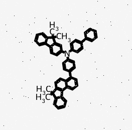 CC1(C)c2ccccc2-c2ccc(N(c3ccc(-c4ccccc4)cc3)c3ccc(-c4cccc5c6c(ccc45)C(C)(C)c4ccccc4-6)cc3)cc21